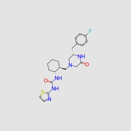 O=C1CN(C[C@@H]2CCCC[C@H]2NC(=O)Nc2nccs2)C[C@H](Cc2ccc(F)cc2)N1